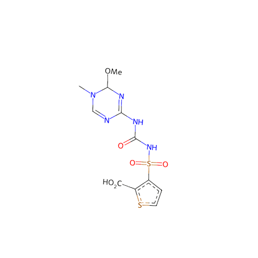 COC1N=C(NC(=O)NS(=O)(=O)c2ccsc2C(=O)O)N=CN1C